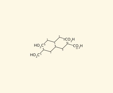 O=C(O)CCCC(=O)O.O=C(O)CCCCCC(=O)O